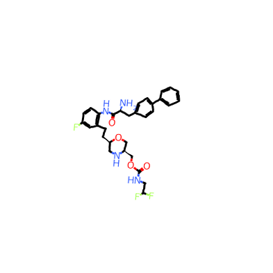 N[C@@H](Cc1ccc(-c2ccccc2)cc1)C(=O)Nc1ccc(F)cc1CC[C@@H]1CN[C@H](COC(=O)NCC(F)F)CO1